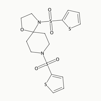 O=S(=O)(c1cccs1)N1CCC2(CC1)OCCN2S(=O)(=O)c1cccs1